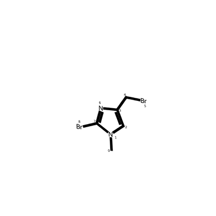 Cn1cc(CBr)nc1Br